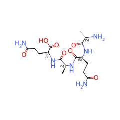 C[C@H](N)C(=O)N[C@@H](CCC(N)=O)C(=O)N[C@@H](C)C(=O)N[C@@H](CCC(N)=O)C(=O)O